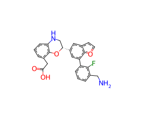 NCc1cccc(-c2cc([C@H]3CNc4cccc(CC(=O)O)c4O3)cc3ccoc23)c1F